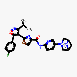 CC(C)c1noc(-c2ccc(F)cc2)c1-c1nc(C(=O)Nc2ccc(N3CC4CC(C3)N4C)cn2)cs1